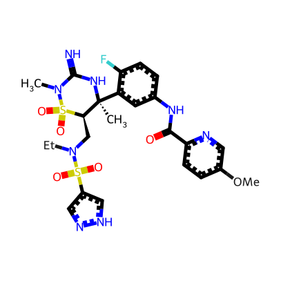 CCN(C[C@@H]1[C@](C)(c2cc(NC(=O)c3ccc(OC)cn3)ccc2F)NC(=N)N(C)S1(=O)=O)S(=O)(=O)c1cn[nH]c1